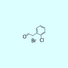 O=C[C@@H](Br)c1ccccc1Cl